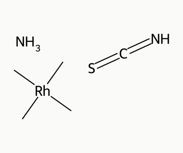 N.N=C=S.[CH3][Rh]([CH3])([CH3])[CH3]